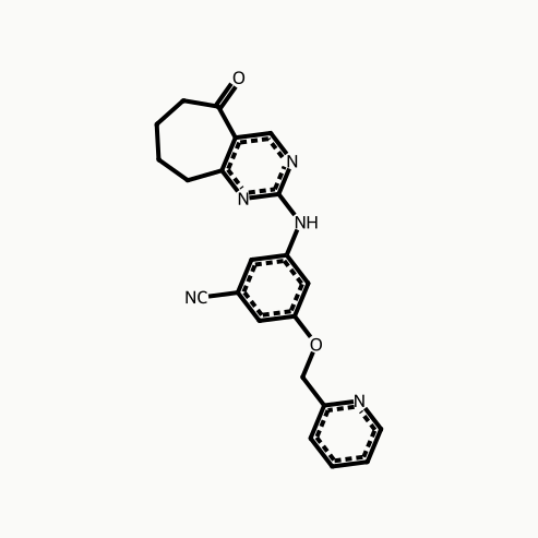 N#Cc1cc(Nc2ncc3c(n2)CCCCC3=O)cc(OCc2ccccn2)c1